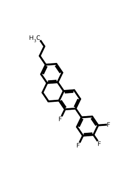 CCCc1ccc2c(c1)CCc1c-2ccc(-c2cc(F)c(F)c(F)c2)c1F